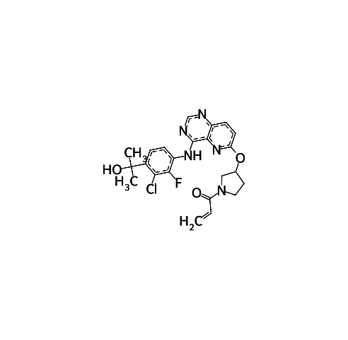 C=CC(=O)N1CCC(Oc2ccc3ncnc(Nc4ccc(C(C)(C)O)c(Cl)c4F)c3n2)C1